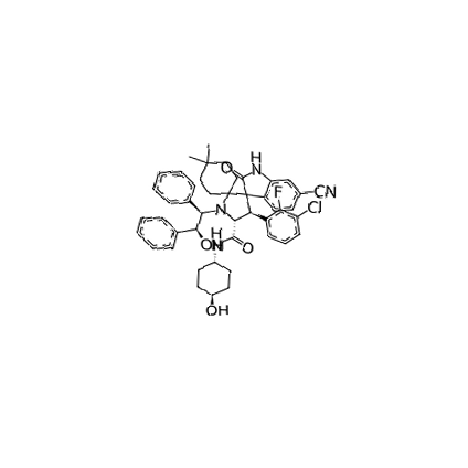 CC1(C)CCC2(CC1)N([C@H](c1ccccc1)[C@@H](O)c1ccccc1)[C@@H](C(=O)N[C@H]1CC[C@H](O)CC1)[C@H](c1cccc(Cl)c1F)C21C(=O)Nc2cc(C#N)ccc21